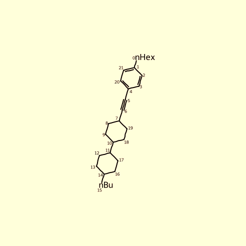 CCCCCCc1ccc(C#CC2CCC(C3CCC(CCCC)CC3)CC2)cc1